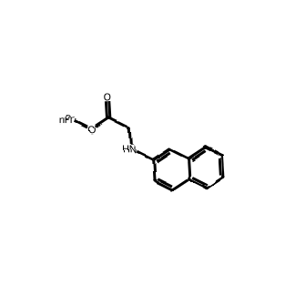 CCCOC(=O)CNc1ccc2ccccc2c1